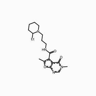 CCC1CCCCN1CCCNC(=O)c1c(C)oc2ncn(C)c(=O)c12